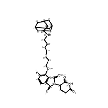 O=C1CCC(N2C(=O)c3ccc(F)c(OCCCCCCCNC45CC6CC(CC(C6)C4)C5)c3C2=O)C(=O)N1